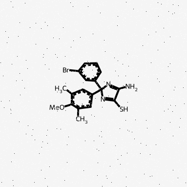 COc1c(C)cc(C2(c3cccc(Br)c3)N=C(N)C(S)=N2)cc1C